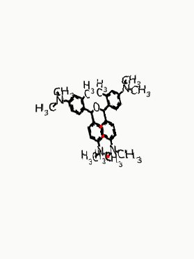 Cc1cc(N(C)C)ccc1C(OC(c1ccc(N(C)C)cc1)c1ccc(N(C)C)cc1C)c1ccc(N(C)C)cc1